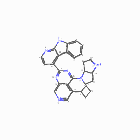 c1ccc2c(c1)[nH]c1nccc(-c3nc(N4CCC5NCCC54)c4c(C5CCC5)cncc4n3)c12